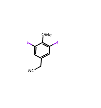 COc1c(I)cc(CC#N)cc1I